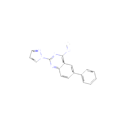 N#CNc1nc(-n2cccn2)nc2ccc(-c3ccccc3)cc12